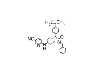 C=C(C)c1ccc(N(C(=O)NCc2ccccc2)[C@H]2CC[C@H](Nc3ccc(C#N)cn3)CC2)cc1